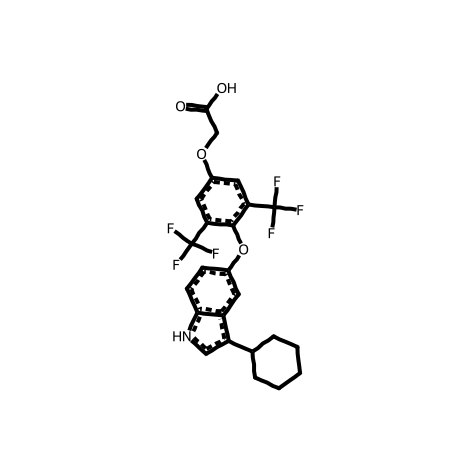 O=C(O)COc1cc(C(F)(F)F)c(Oc2ccc3[nH]cc(C4CCCCC4)c3c2)c(C(F)(F)F)c1